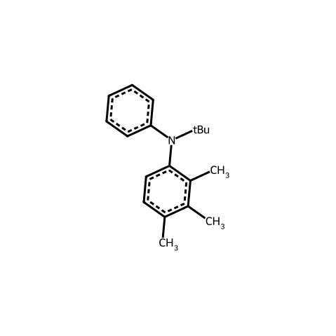 Cc1ccc(N(c2ccccc2)C(C)(C)C)c(C)c1C